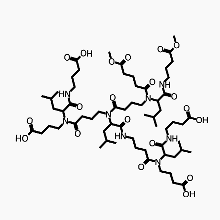 COC(=O)CCCNC(=O)C(CC(C)C)N(CCCC(=O)N(CCCC(=O)N(CCCC(=O)O)C(CC(C)C)C(=O)NCCCC(=O)O)C(CC(C)C)C(=O)NCCCC(=O)N(CCCC(=O)O)C(CC(C)C)C(=O)NCCCC(=O)O)C(=O)CCCC(=O)OC